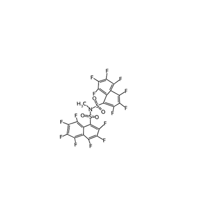 CN(S(=O)(=O)c1c(F)c(F)c(F)c2c(F)c(F)c(F)c(F)c12)S(=O)(=O)c1c(F)c(F)c(F)c2c(F)c(F)c(F)c(F)c12